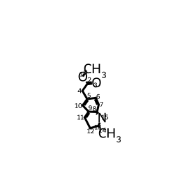 COC(=O)Cc1ccc2c(c1)=CCC(C)N=2